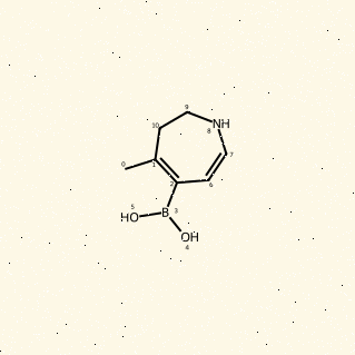 CC1=C(B(O)O)C=CNCC1